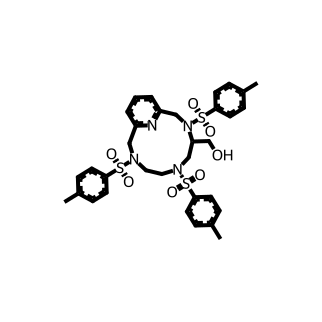 Cc1ccc(S(=O)(=O)N2CCN(S(=O)(=O)c3ccc(C)cc3)CC(CO)N(S(=O)(=O)c3ccc(C)cc3)Cc3cccc(n3)C2)cc1